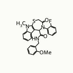 COc1ccccc1CNC(=O)C1c2c(n(C)c3ccccc23)SCC(=O)N1c1ccccc1F